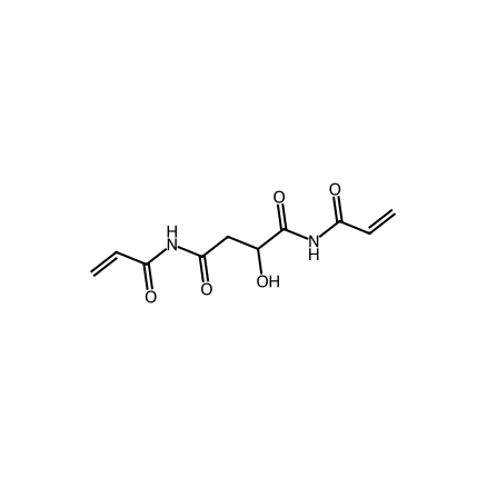 C=CC(=O)NC(=O)CC(O)C(=O)NC(=O)C=C